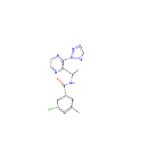 Cc1cc(F)cc(C(=O)NC(C)c2nccnc2-n2nccn2)c1